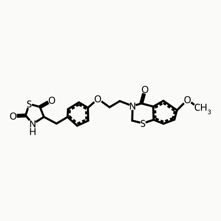 COc1ccc2c(c1)C(=O)N(CCOc1ccc(CC3NC(=O)SC3=O)cc1)CS2